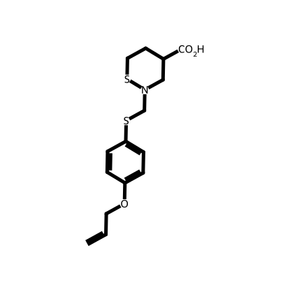 C=CCOc1ccc(SCN2CC(C(=O)O)CCS2)cc1